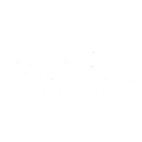 CCc1nc2cccc3c2n1-c1ccc(-c2ccc(-c4c5ccccc5c(-c5ccccc5)c5ccccc45)cc2)cc1P3(=O)c1ccccc1